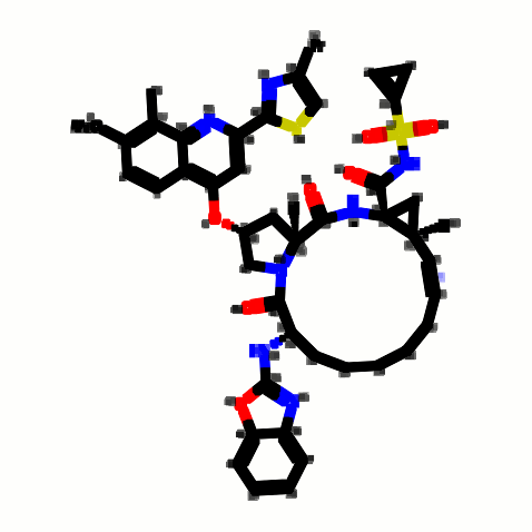 COc1ccc2c(O[C@@H]3C[C@H]4C(=O)N[C@]5(C(=O)NS(=O)(=O)C6=CC6)C[C@H]5/C=C\CCCCC[C@H](Nc5nc6ccccc6o5)C(=O)N4C3)cc(-c3nc(C(C)C)cs3)nc2c1C